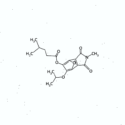 CC(C)CCC(=O)Oc1c(OC(C)C)c2oc1c1c2C(=O)N(C)C1=O